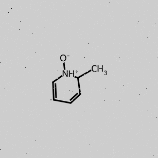 CC1C=C[C]=C[NH+]1[O-]